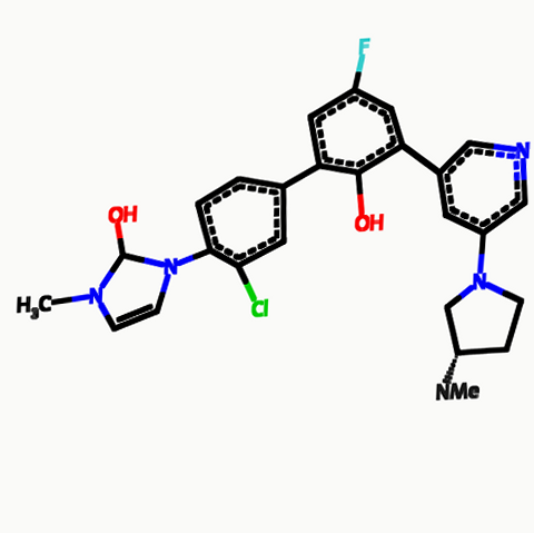 CN[C@H]1CCN(c2cncc(-c3cc(F)cc(-c4ccc(N5C=CN(C)C5O)c(Cl)c4)c3O)c2)C1